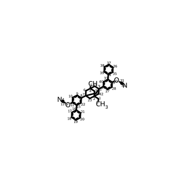 CCC12CC3(C)CC(c4ccc(OC#N)c(-c5ccccc5)c4)(C1)CC(c1ccc(OC#N)c(-c4ccccc4)c1)(C3)C2